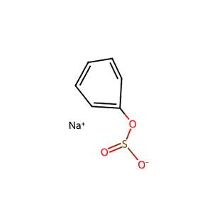 O=S([O-])Oc1ccccc1.[Na+]